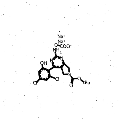 CC(C)(C)OC(=O)N1Cc2nc(N)nc(-c3c(O)cc(Cl)cc3Cl)c2C1.O=C([O-])[O-].[Na+].[Na+]